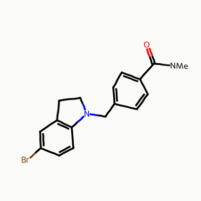 CNC(=O)c1ccc(CN2CCc3cc(Br)ccc32)cc1